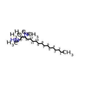 CCCCCCCCCCCCCCC(C(C)CNC)N(C)C